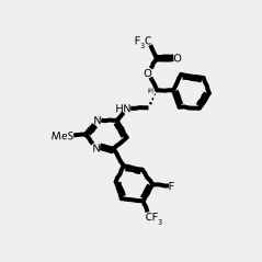 CSc1nc(NC[C@H](OC(=O)C(F)(F)F)c2ccccc2)cc(-c2ccc(C(F)(F)F)c(F)c2)n1